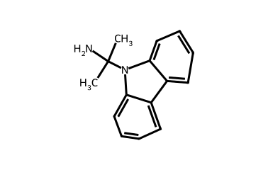 CC(C)(N)n1c2ccccc2c2ccccc21